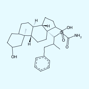 CC(Cc1ccccc1)C(OC(N)=O)[C@]12CC[C@H]3[C@@H](CCC4CCC(O)C[C@@]43C)[C@@H]1CCC2C(=O)O